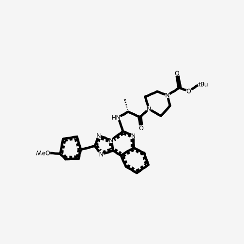 COc1ccc(-c2nc3c4ccccc4nc(N[C@H](C)C(=O)N4CCN(C(=O)OC(C)(C)C)CC4)n3n2)cc1